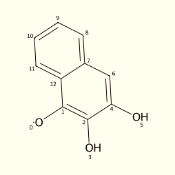 [O]c1c(O)c(O)cc2ccccc12